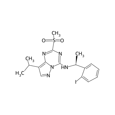 CC(C)c1cnn2c(N[C@@H](C)c3ccccc3I)nc(S(C)(=O)=O)nc12